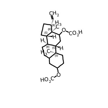 C=C[C@H]1CC[C@H]2[C@@H]3CCC4CC(OC(=O)O)CC[C@]4(C)[C@H]3CC(OC(=O)O)[C@]12C